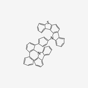 c1ccc(-c2cccc(-c3ccc(-n4c5ccccc5c5ccc6sc7ccccc7c6c54)cc3)c2-n2c3ccccc3c3ccccc32)cc1